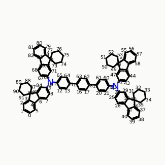 c1ccc2c(c1)-c1ccc(N(c3ccc(-c4ccc(-c5ccc(N(c6ccc7c(c6)C6(CCCCC6)c6ccccc6-7)c6ccc7c(c6)C6(CCCCC6)c6ccccc6-7)cc5)cc4)cc3)c3ccc4c(c3)C3(CCCCC3)c3ccccc3-4)cc1C21CCCCC1